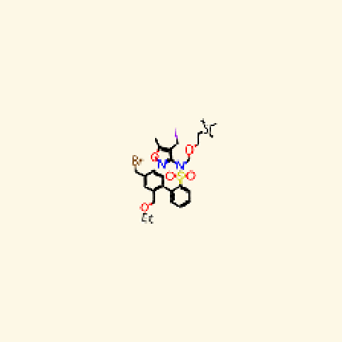 CCOCc1cc(CBr)ccc1-c1ccccc1S(=O)(=O)N(COCC[Si](C)(C)C)c1noc(C)c1CI